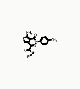 Cc1ccc(-n2nc(C(=O)NC(C)C)c3csc(N)c3c2=O)cc1